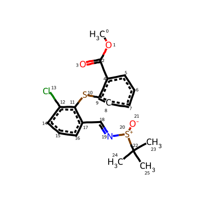 COC(=O)c1ccccc1Sc1c(Cl)cccc1C=N[S+]([O-])C(C)(C)C